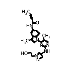 CC#CC(=O)Nc1ccc2c(c1)c(C)cn2-c1nc(Nc2cnn(CCO)c2)ncc1C